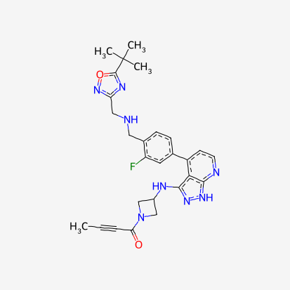 CC#CC(=O)N1CC(Nc2n[nH]c3nccc(-c4ccc(CNCc5noc(C(C)(C)C)n5)c(F)c4)c23)C1